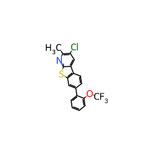 Cc1nc2sc3cc(-c4ccccc4OC(F)(F)F)ccc3c2cc1Cl